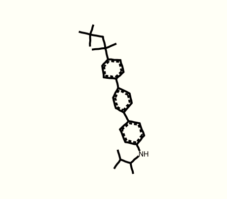 CC(C)C(C)Nc1ccc(-c2ccc(-c3ccc(C(C)(C)CC(C)(C)C)cc3)cc2)cc1